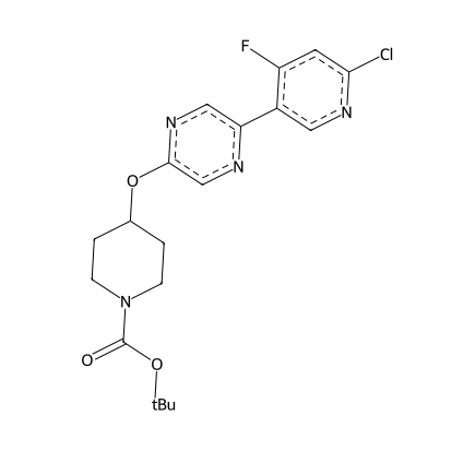 CC(C)(C)OC(=O)N1CCC(Oc2cnc(-c3cnc(Cl)cc3F)cn2)CC1